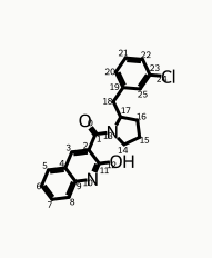 O=C(c1cc2ccccc2nc1O)N1CCCC1Cc1cccc(Cl)c1